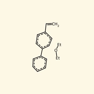 C=Cc1ccc(-c2ccccc2)cc1.CCOCC